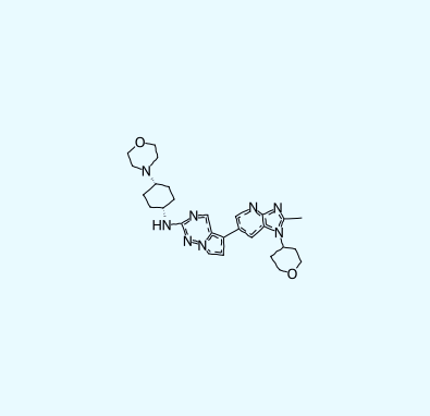 Cc1nc2ncc(-c3ccn4nc(N[C@H]5CC[C@@H](N6CCOCC6)CC5)ncc34)cc2n1C1CCOCC1